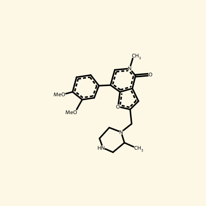 COc1ccc(-c2cn(C)c(=O)c3cc(CN4CCNCC4C)oc23)cc1OC